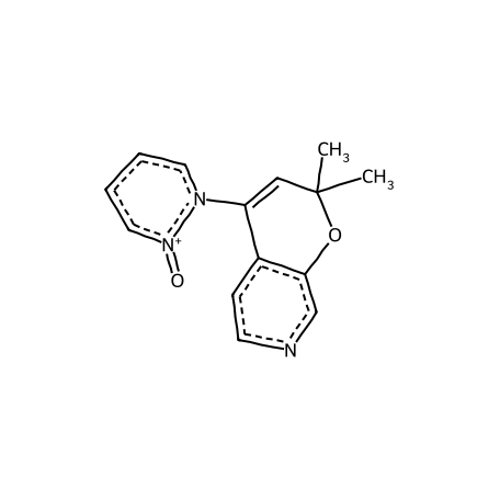 CC1(C)C=C(n2cccc[n+]2=O)c2ccncc2O1